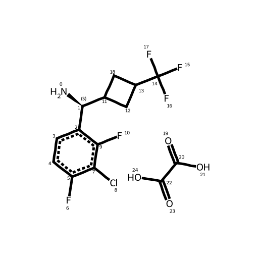 N[C@H](c1ccc(F)c(Cl)c1F)C1CC(C(F)(F)F)C1.O=C(O)C(=O)O